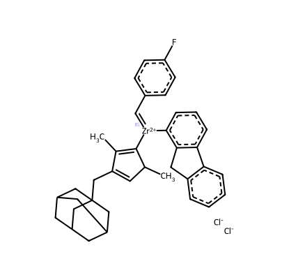 CC1=[C](/[Zr+2](=[CH]/c2ccc(F)cc2)[c]2cccc3c2Cc2ccccc2-3)C(C)C=C1CC12CC3CC(CC(C3)C1)C2.[Cl-].[Cl-]